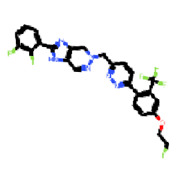 FCCOc1ccc(-c2ccc(CN3Cc4nc(-c5cccc(F)c5F)[nH]c4C=N3)nn2)c(C(F)(F)F)c1